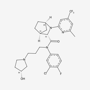 Cc1cc(C(F)(F)F)cc(N2[C@@H]3CC[C@@H](C3)[C@H]2C(=O)N(CCCN2CC[C@@H](O)C2)c2ccc(F)c(Cl)c2)n1